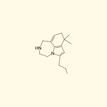 CCCc1cc2c3n1CCNCC3=CCC2(C)C